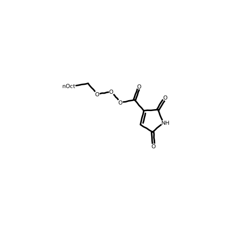 CCCCCCCCCOOOC(=O)C1=CC(=O)NC1=O